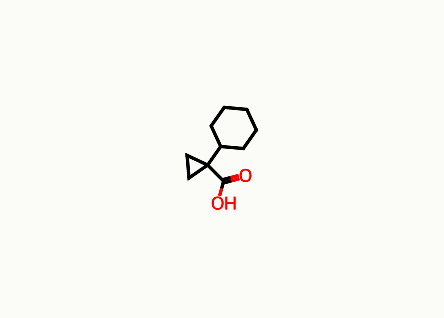 O=C(O)C1(C2CCCCC2)CC1